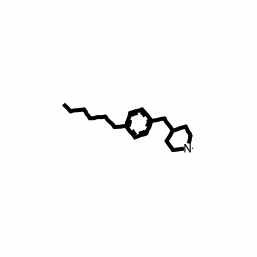 CCCCCCc1ccc(CC2CC[N]CC2)cc1